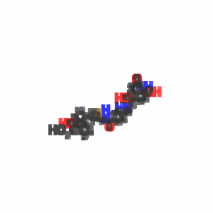 O=C(NCc1cc(-c2cccc(C(O)(C(=O)O)c3ccccc3)c2)cs1)c1ccc(CNCC(O)c2ccc(O)c3[nH]c(=O)ccc23)cc1